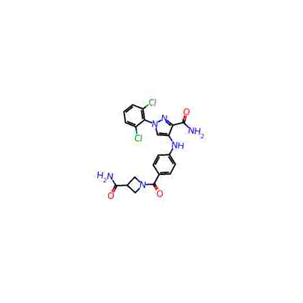 NC(=O)c1nn(-c2c(Cl)cccc2Cl)cc1Nc1ccc(C(=O)N2CC(C(N)=O)C2)cc1